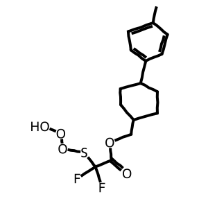 Cc1ccc(C2CCC(COC(=O)C(F)(F)SOOO)CC2)cc1